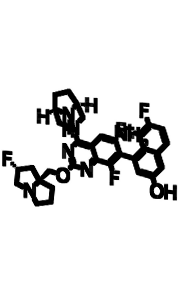 CCc1c(F)ccc2cc(O)cc(-c3c(N)cc4c(N5C[C@H]6CC[C@@H](C5)N6)nc(OC[C@@]56CCCN5C[C@H](F)C6)nc4c3F)c12